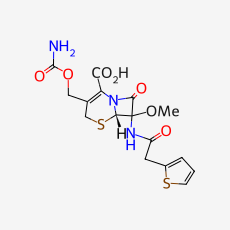 COC1(NC(=O)Cc2cccs2)C(=O)N2C(C(=O)O)=C(COC(N)=O)CS[C@H]21